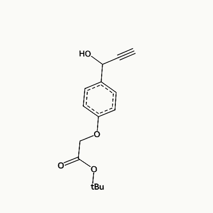 C#CC(O)c1ccc(OCC(=O)OC(C)(C)C)cc1